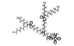 CCCCCCCCC(CCCCCC)C(=O)OCCCCCCN(CCCCCCOC(=O)C(CCCCCC)CCCCCCCC)CCCCNc1c(NC)c(=O)c1=O